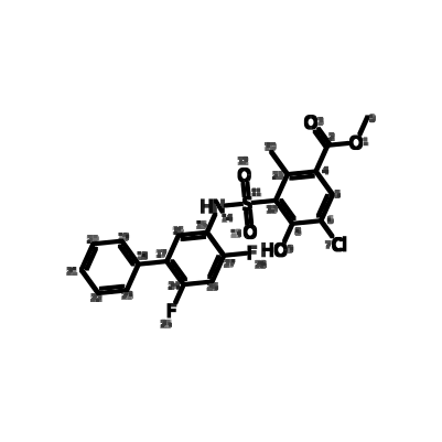 COC(=O)c1cc(Cl)c(O)c(S(=O)(=O)Nc2cc(-c3ccccc3)c(F)cc2F)c1C